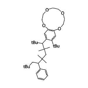 CC(C)(C)CC(c1ccccc1)C(C)(C)CC(C)(C)C(c1cc2c(cc1C(C)(C)C)OCCOCCOCCO2)C(C)(C)C